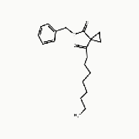 CCCCCCCCC(=O)C1(C(=O)OCc2ccccc2)CC1